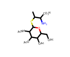 CC(=O)NC1C(SC(C)C(N)C(=O)O)OC(COC(C)=O)C(OC(C)=O)C1OC(C)=O